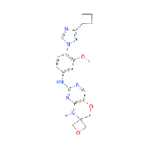 COc1cc(Nc2ncc3c(n2)N(C)C2(COC2)CO3)ccc1-n1cnc(C2CCC2)c1